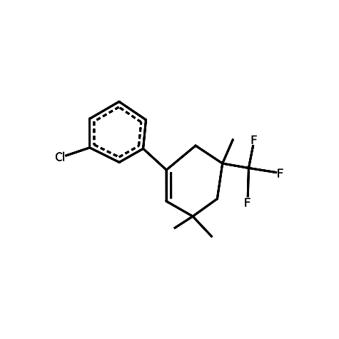 CC1(C)C=C(c2cccc(Cl)c2)CC(C)(C(F)(F)F)C1